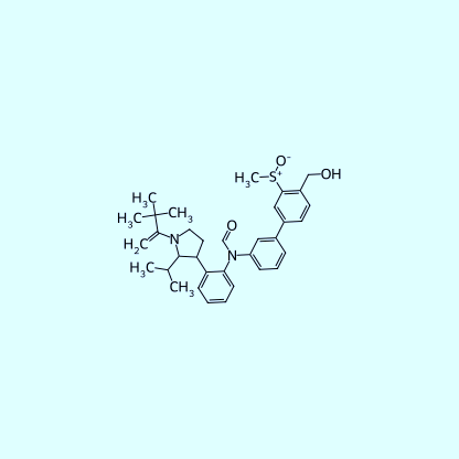 C=C(N1CCC(c2ccccc2N(C=O)c2cccc(-c3ccc(CO)c([S+](C)[O-])c3)c2)C1C(C)C)C(C)(C)C